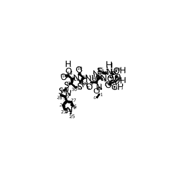 CCO/N=C(\C(=O)N[C@@H]1C(=O)N2C(C(=O)O)=C(Sc3nc(-c4cc[n+](C)cc4)cs3)CS[C@H]12)c1nsc(NP(=O)(O)OP(=O)(O)O)n1